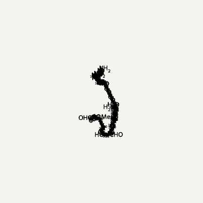 COC(CC1CCCC(C(=O)C=O)O1)/C(C)=C/C=C/C=C/C(C)CC(C)C(=O)CC(O)/C(C)=C/C(C)CCC(CCC1CCC(OCc2cnc(N3CCN(c4ncc(C(=O)NCCOCCOCCOCCOCCC(=O)N5CCc6cc(Cn7nc(-c8ccc9oc(N)nc9c8)c8c(N)ncnc87)ccc6C5)c(N)n4)CC3)nc2)CC1)OC=O